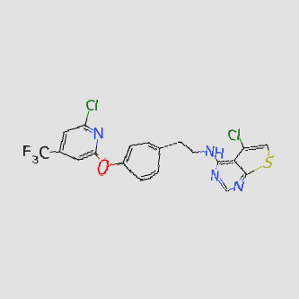 FC(F)(F)c1cc(Cl)nc(Oc2ccc(CCNc3ncnc4scc(Cl)c34)cc2)c1